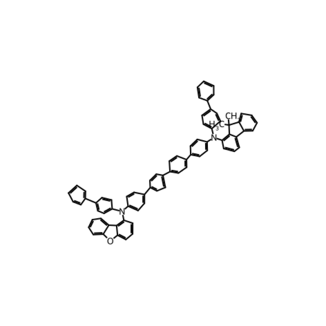 CC1(C)c2ccccc2-c2cccc(N(c3ccc(-c4ccccc4)cc3)c3ccc(-c4ccc(-c5ccc(-c6ccc(N(c7ccc(-c8ccccc8)cc7)c7cccc8oc9ccccc9c78)cc6)cc5)cc4)cc3)c21